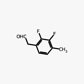 Cc1ccc(CC=O)c(F)c1F